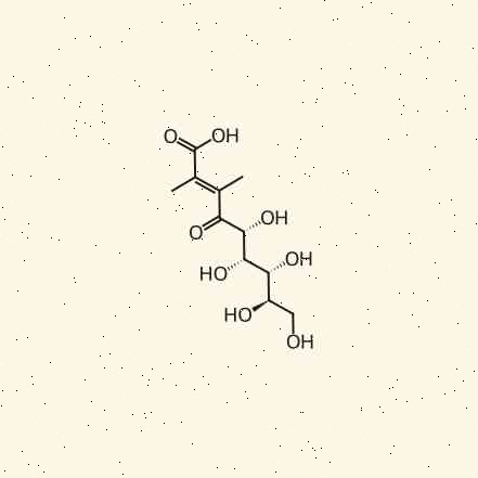 CC(C(=O)O)=C(C)C(=O)[C@H](O)[C@@H](O)[C@H](O)[C@H](O)CO